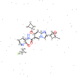 CC12CC(c3cn4cc(C(=O)Nc5cccn([C@@H]6C[C@@H]6F)c5=O)c(OC5CCC5)cc4n3)(CO1)C2